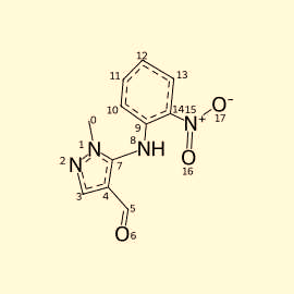 Cn1ncc(C=O)c1Nc1ccccc1[N+](=O)[O-]